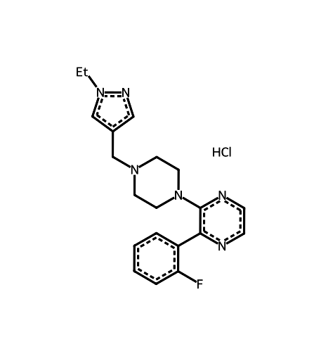 CCn1cc(CN2CCN(c3nccnc3-c3ccccc3F)CC2)cn1.Cl